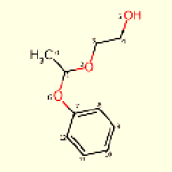 CC(OCCO)Oc1ccccc1